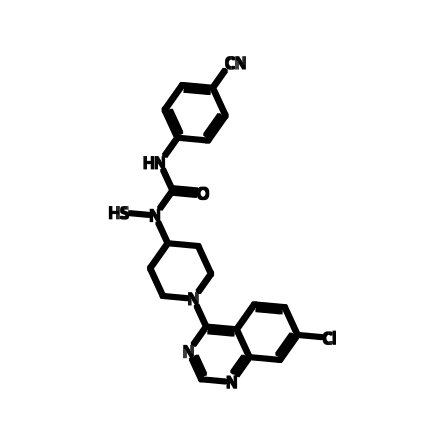 N#Cc1ccc(NC(=O)N(S)C2CCN(c3ncnc4cc(Cl)ccc34)CC2)cc1